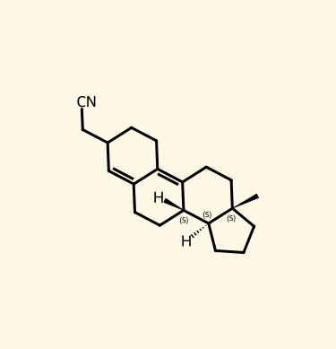 C[C@@]12CCC[C@H]1[C@@H]1CCC3=CC(CC#N)CCC3=C1CC2